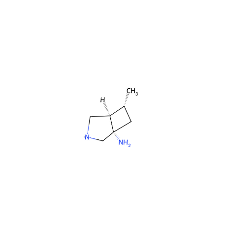 C[C@@H]1C[C@@]2(N)C[N]C[C@@H]12